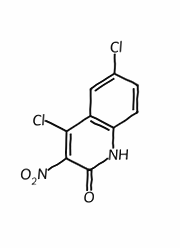 O=c1[nH]c2ccc(Cl)cc2c(Cl)c1[N+](=O)[O-]